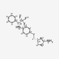 NC1=N[C@@H](CCc2ccc(N[C@H](c3ccccc3)C(F)(F)F)cc2)CO1